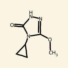 COc1n[nH]c(=O)n1C1CC1